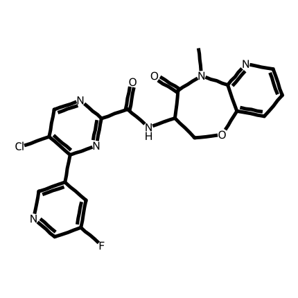 CN1C(=O)C(NC(=O)c2ncc(Cl)c(-c3cncc(F)c3)n2)COc2cccnc21